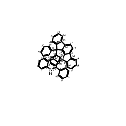 c1ccc(C2Nc3ccccc3CC2n2c3ccccc3c3ccc4c(c32)C(c2ccccc2)(c2ccccc2)c2ccccc2-4)cc1